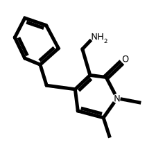 Cc1cc(Cc2ccccc2)c(CN)c(=O)n1C